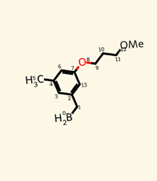 BCc1cc(C)cc(OCCCOC)c1